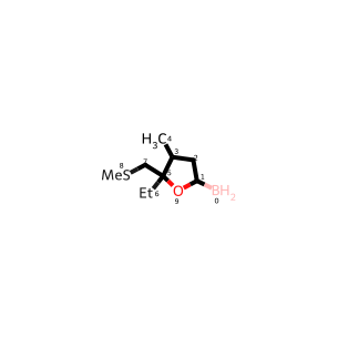 BC1CC(C)C(CC)(CSC)O1